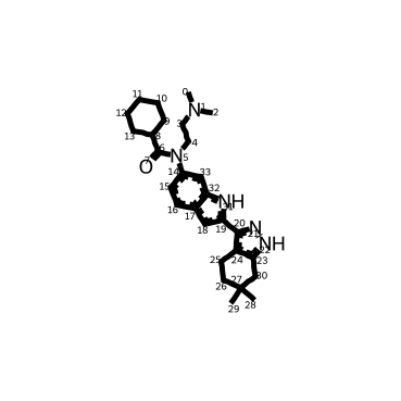 CN(C)CCN(C(=O)C1CCCCC1)c1ccc2cc(-c3n[nH]c4c3CCC(C)(C)C4)[nH]c2c1